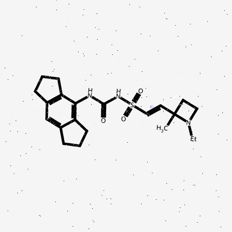 [CH2]CN1CCC1(C)/C=C/S(=O)(=O)NC(=O)Nc1c2c(cc3c1CCC3)CCC2